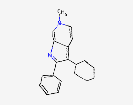 Cn1ccc2c(C3CCCCC3)c(-c3ccccc3)nc-2c1